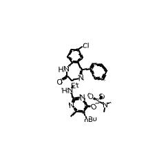 CCCCc1c(C)nc(NCC)nc1OS(=O)(=O)N(C)C.O=C1CN=C(c2ccccc2)c2cc(Cl)ccc2N1